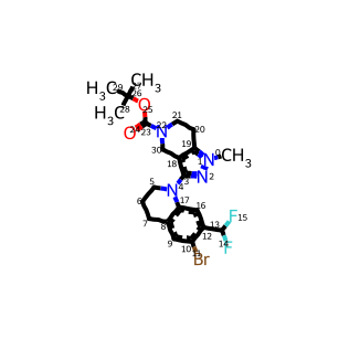 Cn1nc(N2CCCc3cc(Br)c(C(F)F)cc32)c2c1CCN(C(=O)OC(C)(C)C)C2